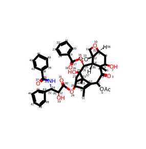 CC(=O)OC1C(=O)C2(C)C(O)C[C@@H]3OC[C@@]3(OC(C)=O)[C@H]2[C@H](OC(=O)c2ccccc2)C2(O)CC(OC(=O)[C@H](O)[C@@H](NC(=O)c3ccccc3)c3ccccc3)C(C)=C1C2(C)C